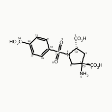 N[C@@]1(C(=O)O)C[C@@H](C(=O)O)N(S(=O)(=O)c2ccc(C(=O)O)cc2)C1